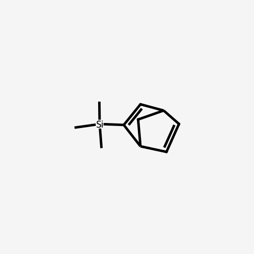 C[Si](C)(C)C1=CC2C=CC1C2